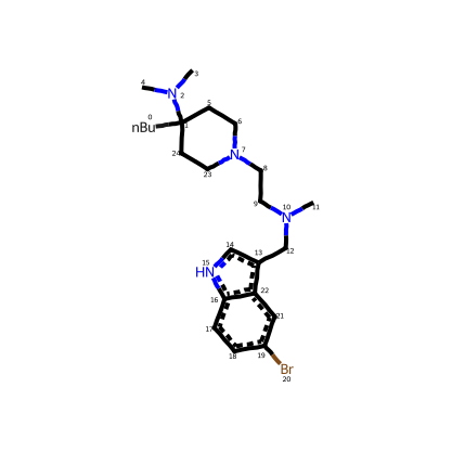 CCCCC1(N(C)C)CCN(CCN(C)Cc2c[nH]c3ccc(Br)cc23)CC1